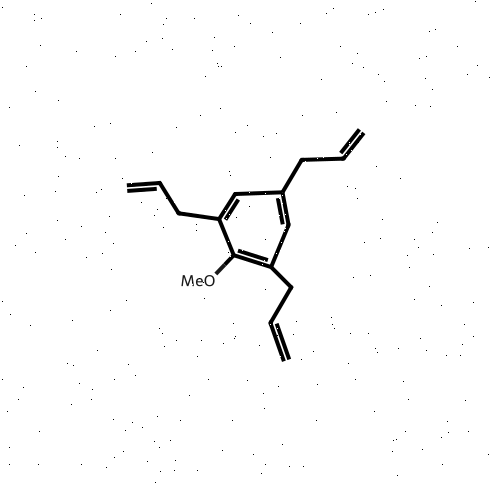 C=CCc1cc(CC=C)c(OC)c(CC=C)c1